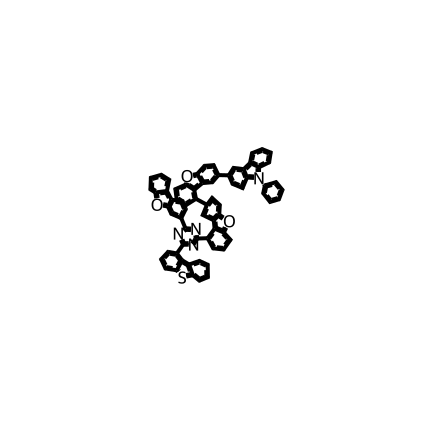 c1ccc(-n2c3ccccc3c3cc(-c4ccc5oc6cccc(-c7ccc8oc9cccc(-c%10nc(-c%11ccc%12c(c%11)oc%11ccccc%11%12)nc(-c%11cccc%12sc%13ccccc%13c%11%12)n%10)c9c8c7)c6c5c4)ccc32)cc1